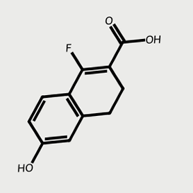 O=C(O)C1=C(F)c2ccc(O)cc2CC1